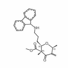 C=C1C(=O)[C@](C)(C(=O)OC)[C@@H](CCCNC2c3ccccc3-c3ccccc32)O[C@H]1C